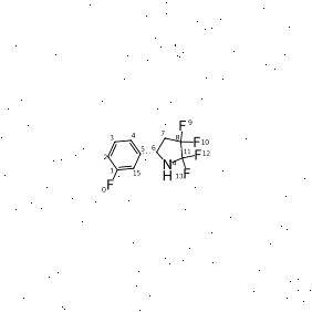 Fc1cccc([C@@H]2CC(F)(F)C(F)(F)N2)c1